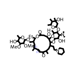 CCC1OC(=O)CC(O)C(C)C(OC2OC(C)C(OC3CC(C)(O)C(C)C(C)O3)C(N(C)C)C2O)C(CCN2CCCCC2)CC(C)C(=O)/C=C/C(C)=C/C1COC1OC(C)C(O)C(OC)C1OC